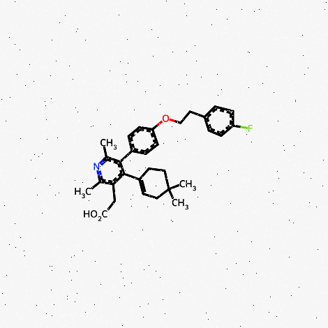 Cc1nc(C)c(-c2ccc(OCCc3ccc(F)cc3)cc2)c(C2=CCC(C)(C)CC2)c1CC(=O)O